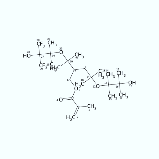 C=C(C)C(=O)OCC(CC(C)(C)OC(C)(C)C(C)(C)O)C(C)(C)OC(C)(C)C(O)(C(F)(F)F)C(F)(F)F